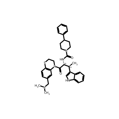 C[C@@H](c1c[nH]c2ccccc12)[C@@H](NC(=O)N1CCC(c2ccccc2)CC1)C(=O)N1CCSc2ccc(CN(C)C)cc21